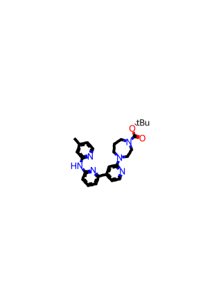 Cc1ccnc(Nc2cccc(-c3ccnc(N4CCCN(C(=O)OC(C)(C)C)CC4)c3)n2)c1